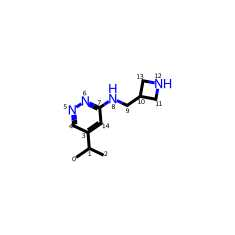 CC(C)c1cnnc(NCC2CNC2)c1